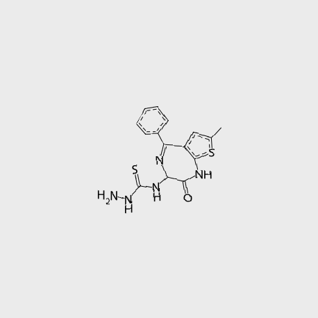 Cc1cc2c(s1)NC(=O)C(NC(=S)NN)N=C2c1ccccc1